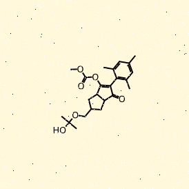 COC(=O)OC1=C(c2c(C)cc(C)cc2C)C(=O)C2CC(COC(C)(C)O)CC12